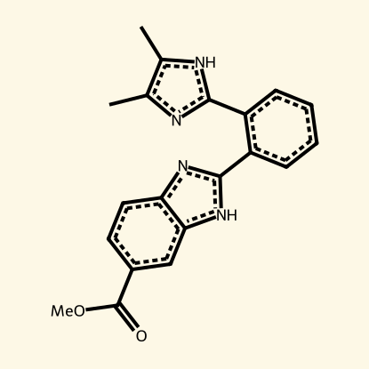 COC(=O)c1ccc2nc(-c3ccccc3-c3nc(C)c(C)[nH]3)[nH]c2c1